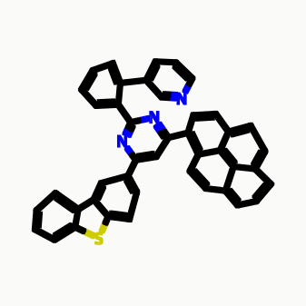 c1cncc(-c2ccccc2-c2nc(-c3ccc4sc5ccccc5c4c3)cc(-c3ccc4ccc5cccc6ccc3c4c56)n2)c1